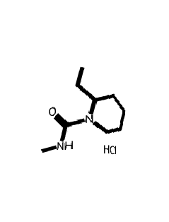 CCC1CCCCN1C(=O)NC.Cl